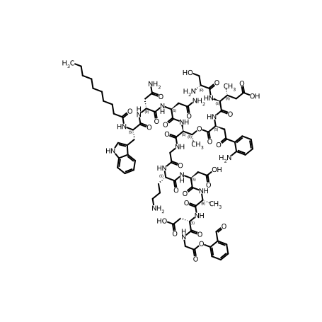 CCCCCCCCCC(=O)N[C@@H](Cc1c[nH]c2ccccc12)C(=O)N[C@H](CC(N)=O)C(=O)N[C@@H](CC(N)=O)C(=O)N[C@H](C(=O)NCC(=O)N[C@@H](CCCN)C(=O)N[C@@H](CC(=O)O)C(=O)N[C@H](C)C(=O)N[C@@H](CC(=O)O)C(=O)NCC(=O)Oc1ccccc1C=O)[C@@H](C)OC(=O)[C@H](CC(=O)c1ccccc1N)NC(=O)[C@@H](NC(=O)[C@H](N)CO)[C@H](C)CC(=O)O